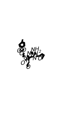 COCCn1c(=O)n(CCOS(=O)(=O)c2ccc(C)cc2)c2nc(N)n3nc(-c4ccco4)nc3c21